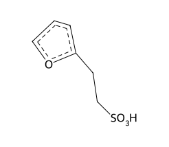 O=S(=O)(O)CCc1ccco1